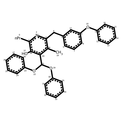 CCCc1nc(Cc2cccc(Oc3ccccc3)c2)c(C)c(C(Oc2ccccc2)Oc2ccccc2)c1O